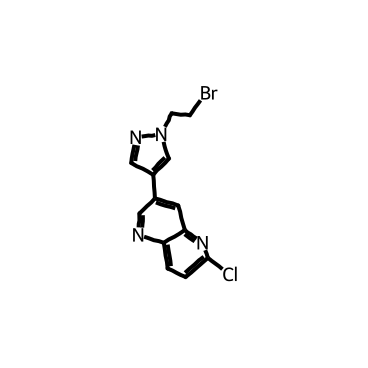 Clc1ccc2ncc(-c3cnn(CCBr)c3)cc2n1